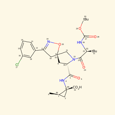 C[C@@H]1C[C@]1(NC(=O)[C@@H]1C[C@]2(CC(c3cccc(Cl)c3)=NO2)CN1C(=O)[C@@H](NC(=O)OC(C)(C)C)C(C)(C)C)C(=O)O